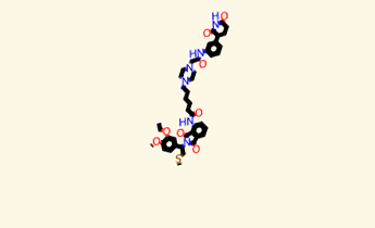 CCOc1cc(C(CSC)N2C(=O)c3cccc(NC(=O)CCCCCN4CCN(CC(=O)Nc5cccc(C6CCC(=O)NC6=O)c5)CC4)c3C2=O)ccc1OC